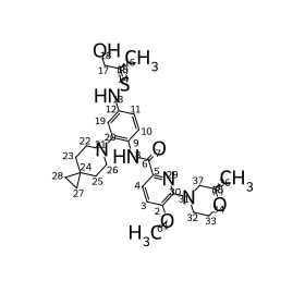 COc1ccc(C(=O)Nc2ccc(NS[C@H](C)CO)cc2N2CCC3(CC2)CC3)nc1N1CCO[C@H](C)C1